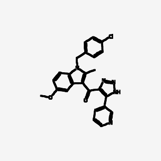 COc1ccc2c(c1)c(C(=O)c1nn[nH]c1-c1cccnc1)c(C)n2Cc1ccc(Cl)cc1